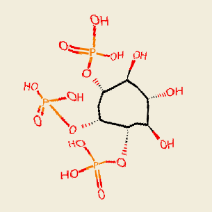 O=P(O)(O)O[C@@H]1[C@H](OP(=O)(O)O)[C@@H](O)[C@H](O)[C@@H](O)[C@@H]1OP(=O)(O)O